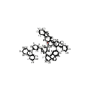 c1ccc(-c2nc(-c3cccc(-n4c5ccccc5c5ccccc54)c3)nc(-c3cccc4oc5ccc(-c6cc(-c7ccc8c(c7)sc7ccccc78)cc7oc8ccccc8c67)cc5c34)n2)cc1